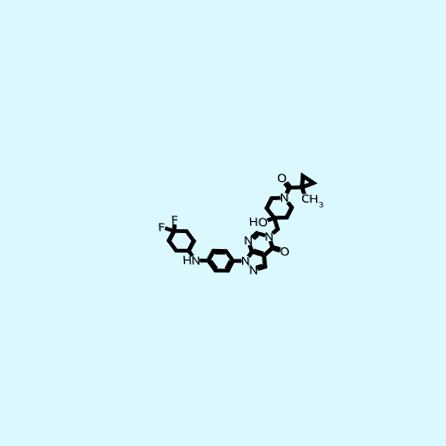 CC1(C(=O)N2CCC(O)(Cn3cnc4c(cnn4-c4ccc(NC5CCC(F)(F)CC5)cc4)c3=O)CC2)CC1